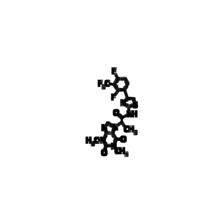 CC(C(=O)Nc1nc(-c2ccc(F)c(C(F)(F)F)c2F)cs1)n1cnc2c1c(=O)n(C)c(=O)n2C